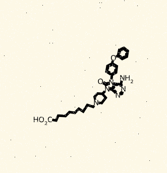 Nc1ncnc2c1n(-c1ccc(Oc3ccccc3)cc1)c(=O)n2C1CCN(CCCCCCCCCC(=O)O)CC1